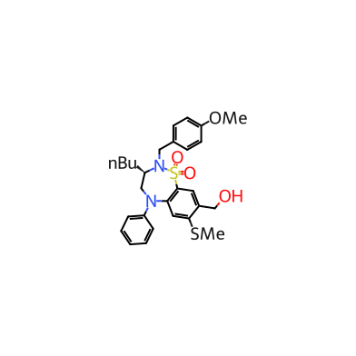 CCCC[C@@H]1CN(c2ccccc2)c2cc(SC)c(CO)cc2S(=O)(=O)N1Cc1ccc(OC)cc1